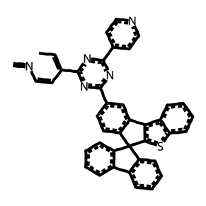 C=N/C=C\C(=C/C)c1nc(-c2ccncc2)nc(-c2ccc3c(c2)-c2c(sc4ccccc24)C32c3ccccc3-c3ccccc32)n1